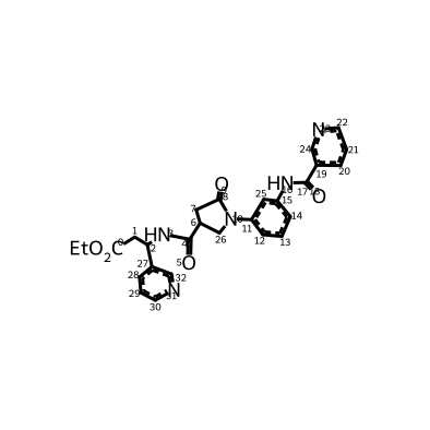 CCOC(=O)CC(NC(=O)C1CC(=O)N(c2cccc(NC(=O)c3cccnc3)c2)C1)c1cccnc1